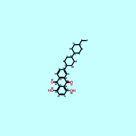 CCC1CCC(C2CCC(c3ccc4c(c3)C(=O)c3c(O)ccc(O)c3C4=O)CC2)CC1